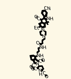 CCc1cc2c(cc1N1CCN(CCCC(=O)NCCCNc3cccc4c(=C=O)n(C5CCC(=C=O)NC5=C=O)c(=C=O)c34)CC1)C(C)(C)c1[nH]c3cc(C#N)ccc3c1C2=C=O